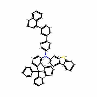 c1ccc(C2(c3ccccc3)c3ccccc3-c3c(N(c4ccc(-c5cccc(-c6cccc7ccccc67)c5)cc4)c4ccc5c(c4)sc4ccccc45)cccc32)cc1